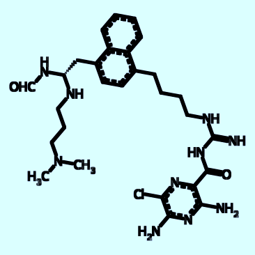 CN(C)CCCN[C@@H](Cc1ccc(CCCCNC(=N)NC(=O)c2nc(Cl)c(N)nc2N)c2ccccc12)NC=O